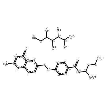 Nc1nc2ncc(CNc3ccc(C(=O)NC(CCC(=O)O)C(=O)O)cc3)nc2c(=O)[nH]1.O=CC(O)C(O)C(O)C(O)CO